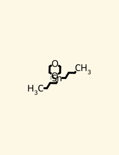 C1COCCO1.CCC[CH2][Sn][CH2]CCC